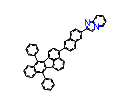 c1ccc(-c2c3c(c(-c4ccccc4)c4ccccc24)-c2ccc(-c4ccc5cc(-c6cn7ccccc7n6)ccc5c4)c4cccc-3c24)cc1